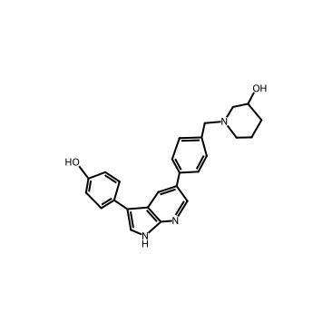 Oc1ccc(-c2c[nH]c3ncc(-c4ccc(CN5CCCC(O)C5)cc4)cc23)cc1